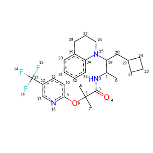 CC(NC(=O)C(C)(C)Oc1ccc(C(F)(F)F)cn1)C(CC1CCC1)N1CCCc2ccccc21